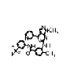 Cc1ccc(C(=O)Nc2cccc(C(F)(F)F)c2)cc1Nc1nc(-c2cccnc2)c2cnn(C)c2n1